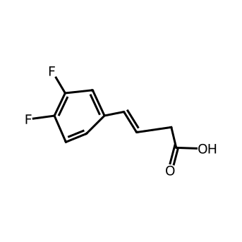 O=C(O)CC=Cc1ccc(F)c(F)c1